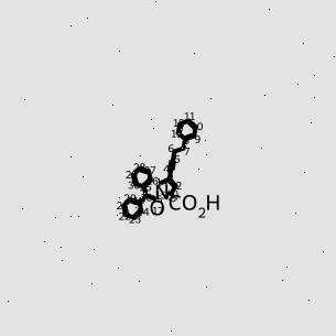 O=C(O)[C@@H]1C=C(C#CCCc2ccccc2)CN1C(=O)C(c1ccccc1)c1ccccc1